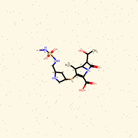 CC(O)C1C(=O)N2C(C(=O)O)=C(SC3CNC(CNS(=O)(=O)NI)C3)C(C)C12